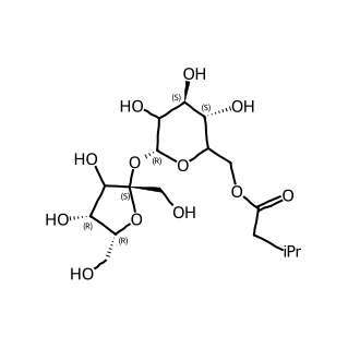 CC(C)CC(=O)OCC1O[C@H](O[C@]2(CO)O[C@H](CO)[C@H](O)C2O)C(O)[C@@H](O)[C@@H]1O